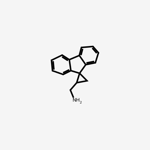 NCC1CC12c1ccccc1-c1ccccc12